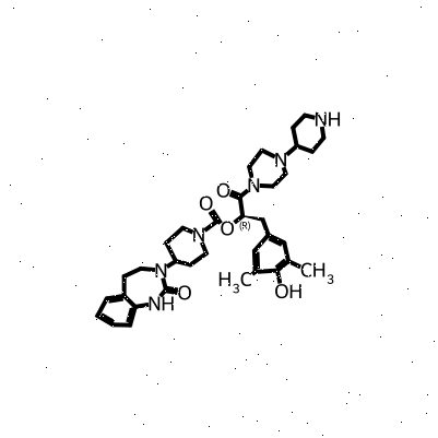 Cc1cc(C[C@@H](OC(=O)N2CCC(N3CCc4ccccc4NC3=O)CC2)C(=O)N2CCN(C3CCNCC3)CC2)cc(C)c1O